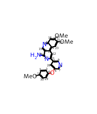 COc1ccc(Oc2cncc(-c3cc4c(cnc5cc(OC)c(OC)cc54)c(N)n3)c2)cc1